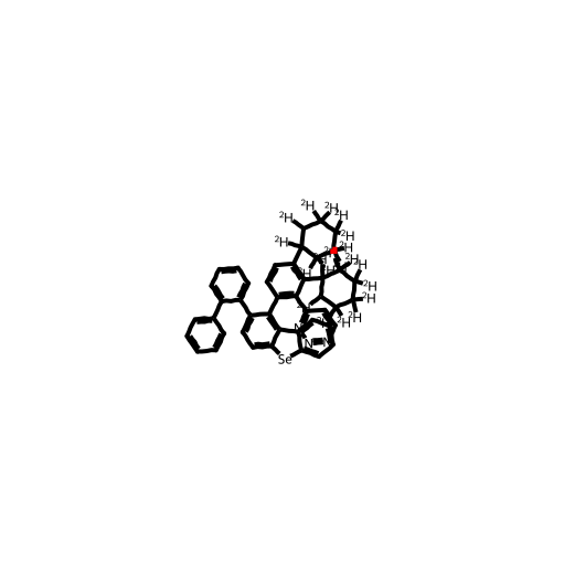 [2H]C1C([2H])([2H])C([2H])([2H])C([2H])([2H])C([2H])([2H])C1([2H])c1ccc(-c2c(-c3ccccc3-c3ccccc3)ccc3[se]c4ccccc4c23)c(-c2ccnnn2)c1C1([2H])C([2H])C([2H])([2H])C([2H])([2H])C([2H])([2H])C1([2H])[2H]